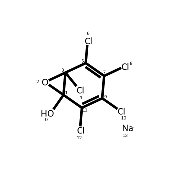 OC12OC1(Cl)C(Cl)=C(Cl)C(Cl)=C2Cl.[Na]